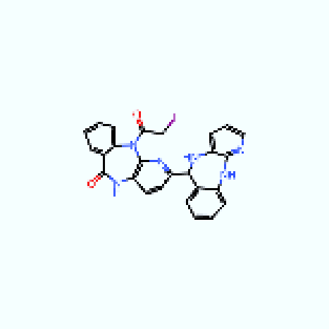 O=C1Nc2ccc(C3Nc4cccnc4Nc4ccccc43)nc2N(C(=O)CI)c2ccccc21